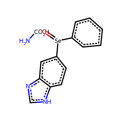 NC(=O)O.O=[Se](c1ccccc1)c1ccc2[nH]cnc2c1